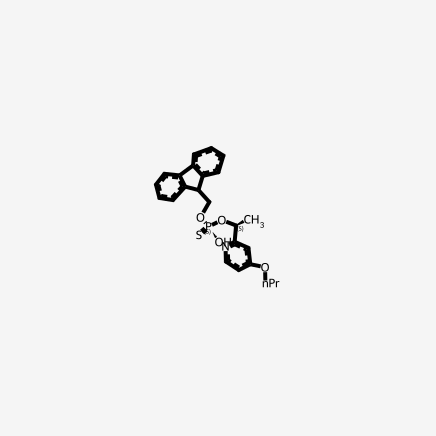 CCCOc1ccnc([C@H](C)O[P@@](O)(=S)OCC2c3ccccc3-c3ccccc32)c1